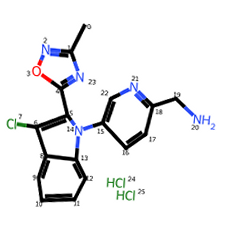 Cc1noc(-c2c(Cl)c3ccccc3n2-c2ccc(CN)nc2)n1.Cl.Cl